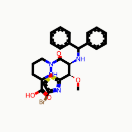 CO[C@H](c1nc(Br)cs1)[C@H](NC(c1ccccc1)c1ccccc1)C(=O)N1CCCC(C(=O)O)N1